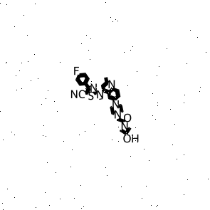 Cc1cc(N(C)c2nc(-c3ccc(F)cc3)c(C#N)s2)c2cc(N3CCN(CC(=O)N4CC(O)C4)CC3)ccc2n1